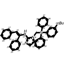 CCCCc1cccc([Si](Cn2ccnc2BC(=Cc2ccccc2)c2ccccc2)(c2ccccc2)c2ccccc2)c1